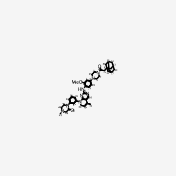 COc1cc(N2CCN(C(=O)CC34CC5CC(CC(C5)C3)C4)CC2)ccc1Nc1ncc2c(n1)N(c1cccc(N3CCN(C)CC3=O)c1)CC=C2C